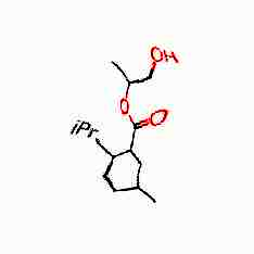 CC1CCC(C(C)C)C(C(=O)OC(C)CO)C1